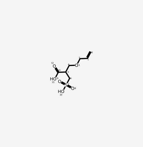 C=CCOCC(CS(=O)(=O)O)C(=O)O